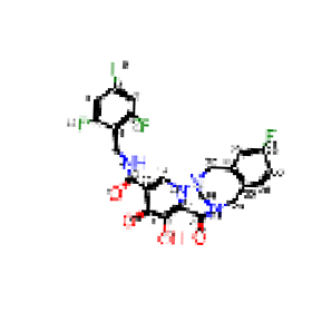 O=C(NCc1c(F)cc(F)cc1F)c1cn2c(c(O)c1=O)C(=O)N1Cc3ccc(F)cc3CN2C1